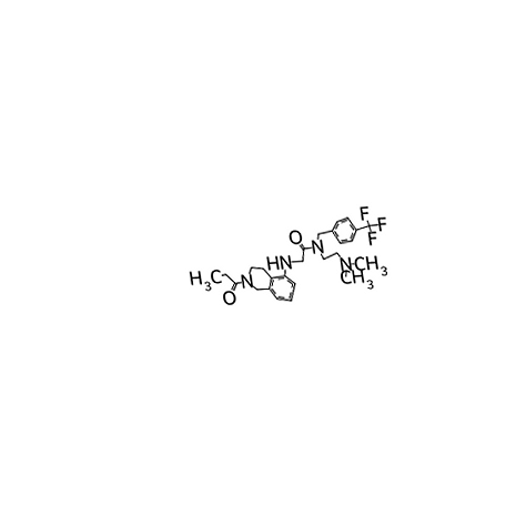 CCC(=O)N1CCc2c(cccc2NCC(=O)N(CCN(C)C)Cc2ccc(C(F)(F)F)cc2)C1